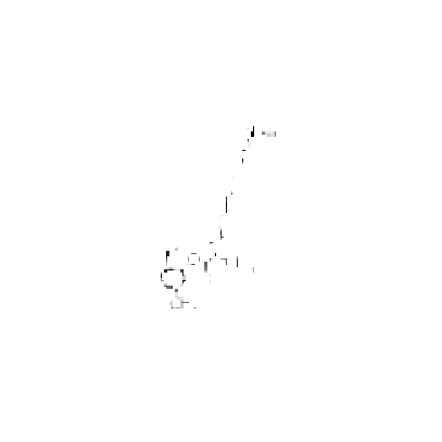 CCCCCCCCCCCCCCCCCCCCC(C)C(=O)Oc1cc(C)ccc1C(C)C